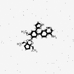 CC[C@@]12CCC[C@]1(CC)OB(c1cc(-c3ccc4c(N)cnnc4c3)c(-c3cc[nH]n3)cc1OC)O2